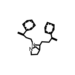 C=C(CCC1C2CCN(C2)N1CCC(=C)c1ccccc1)c1ccccc1